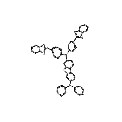 c1ccc(N(c2ccccc2)c2ccc3c(c2)sc2cc(N(c4ccc(-c5nc6ccccc6o5)cc4)c4ccc(-c5nc6ccccc6o5)cc4)ccc23)cc1